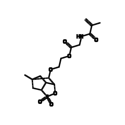 C=C(C)C(=O)NCC(=O)OCCOC1C2OS(=O)(=O)C3CC1(C)CC23